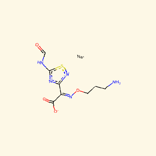 NCCCO/N=C(/C(=O)[O-])c1nsc(NC=O)n1.[Na+]